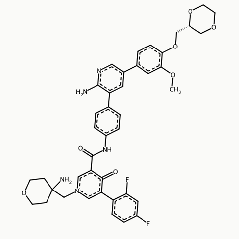 COc1cc(-c2cnc(N)c(-c3ccc(NC(=O)c4cn(CC5(N)CCOCC5)cc(-c5ccc(F)cc5F)c4=O)cc3)c2)ccc1OC[C@H]1COCCO1